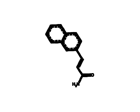 NC(=O)C=Cc1ccc2ccccc2c1